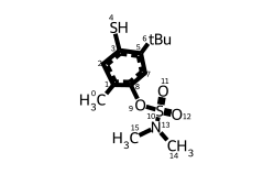 Cc1cc(S)c(C(C)(C)C)cc1OS(=O)(=O)N(C)C